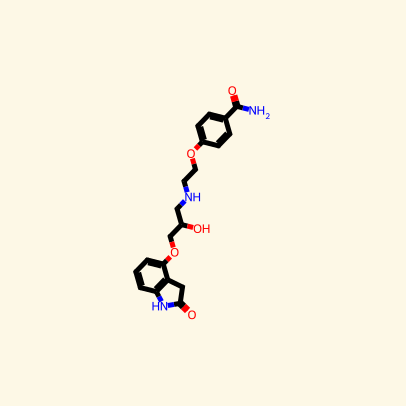 NC(=O)c1ccc(OCCNCC(O)COc2cccc3c2CC(=O)N3)cc1